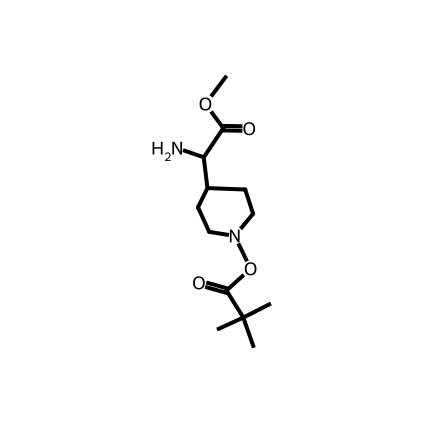 COC(=O)C(N)C1CCN(OC(=O)C(C)(C)C)CC1